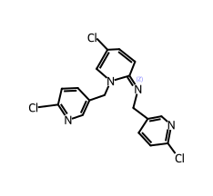 Clc1cc/c(=N/Cc2ccc(Cl)nc2)n(Cc2ccc(Cl)nc2)c1